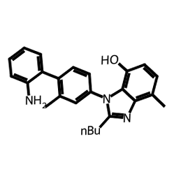 CCCCc1nc2c(C)ccc(O)c2n1-c1ccc(-c2ccccc2N)c(C)c1